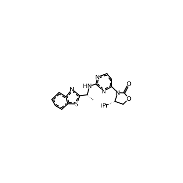 CC(C)[C@H]1COC(=O)N1c1ccnc(N[C@H](C)c2nc3ccccc3s2)n1